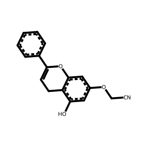 N#CCOc1cc(O)c2c(c1)OC(c1ccccc1)=CC2